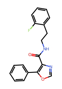 O=C(NCCc1ccccc1F)c1ncoc1-c1ccccc1